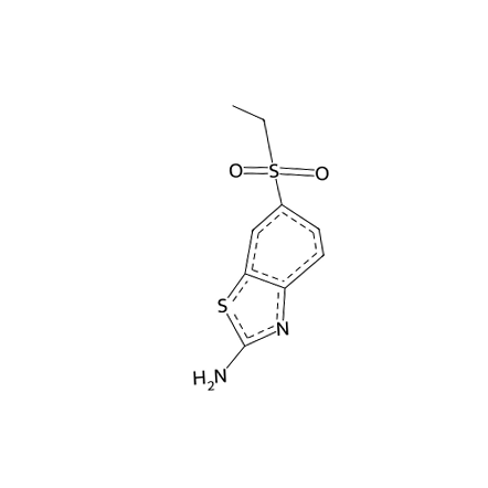 CCS(=O)(=O)c1ccc2nc(N)sc2c1